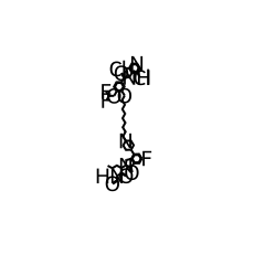 CCCC(C(=O)NC=O)N1Cc2c(cc(F)cc2C2CCN(CCCCCCCCCOc3cc(C(=O)Nc4c(Cl)cncc4Cl)ccc3OC(F)F)CC2)C1=O